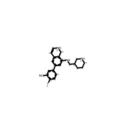 N#Cc1cc(-c2cc3c(c(NCC4CCCNC4)c2)CNC=C3)ccc1F